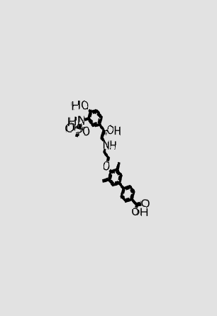 Cc1cc(-c2ccc(C(=O)O)cc2)cc(C)c1OCCNC[C@@H](O)c1ccc(O)c(NS(C)(=O)=O)c1